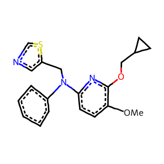 COc1ccc(N(Cc2cncs2)c2ccccc2)nc1OCC1CC1